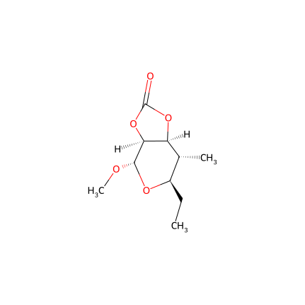 CC[C@H]1O[C@H](OC)[C@H]2OC(=O)O[C@H]2[C@@H]1C